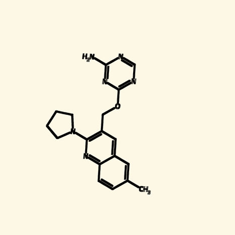 Cc1ccc2nc(N3CCCC3)c(COc3ncnc(N)n3)cc2c1